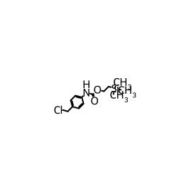 C[Si](C)(C)CCOC(=O)Nc1ccc(CCl)cc1